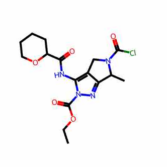 CCOC(=O)n1nc2c(c1NC(=O)C1CCCCO1)CN(C(=O)Cl)C2C